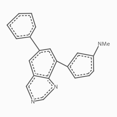 CNc1cccc(-c2cc(-c3ccccc3)cc3cncnc23)c1